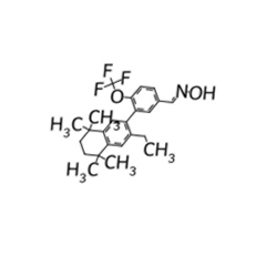 CCc1cc2c(cc1-c1cc(/C=N/O)ccc1OC(F)(F)F)C(C)(C)CCC2(C)C